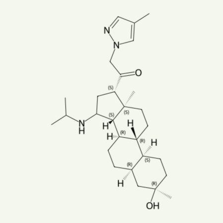 Cc1cnn(CC(=O)[C@H]2CC(NC(C)C)[C@H]3[C@@H]4CC[C@@H]5C[C@](C)(O)CC[C@@H]5[C@H]4CC[C@]23C)c1